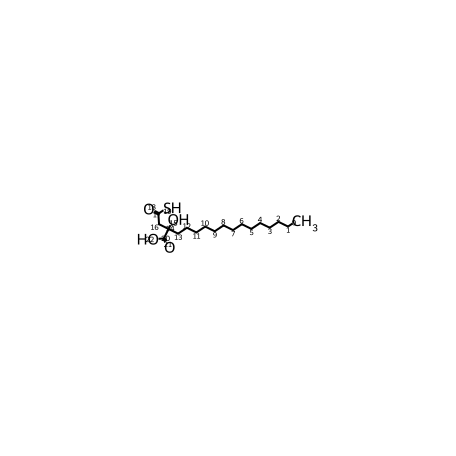 CCCCCCCCCCCCCCC(O)(CC(=O)S)C(=O)O